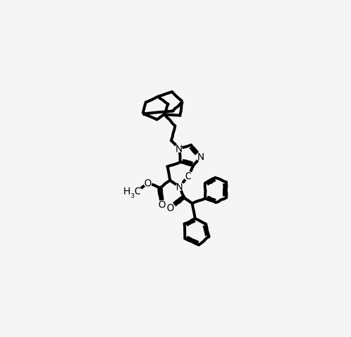 COC(=O)C1Cc2c(ncn2CCC23CC4CC(CC(C4)C2)C3)CN1C(=O)C(c1ccccc1)c1ccccc1